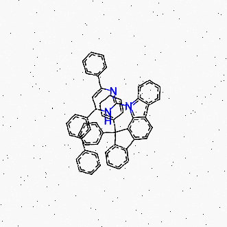 C1=CC(C2(c3ccccc3)c3ccccc3-c3ccc4c5ccccc5n(C5=NC(c6ccccc6)=CC(c6cccc(-c7ccccc7)c6)N5)c4c32)=CCC1